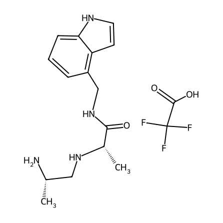 C[C@H](N)CN[C@@H](C)C(=O)NCc1cccc2[nH]ccc12.O=C(O)C(F)(F)F